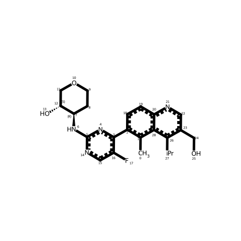 Cc1c(-c2nc(N[C@@H]3CCOC[C@H]3O)ncc2F)ccc2ncc(CO)c(C(C)C)c12